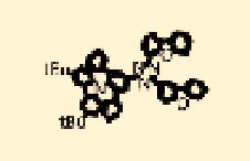 CC(C)(C)c1ccc2c(c1)c1cc(C(C)(C)C)ccc1n2-c1c(-c2ccccc2)cc(-c2nc(-c3ccc4oc5ccccc5c4c3)nc(-c3cccc4c3oc3ccccc34)n2)cc1-c1ccccc1